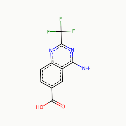 [NH]c1nc(C(F)(F)F)nc2ccc(C(=O)O)cc12